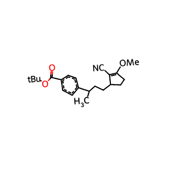 COC1=C(C#N)C(CCC(C)c2ccc(C(=O)OC(C)(C)C)cc2)CC1